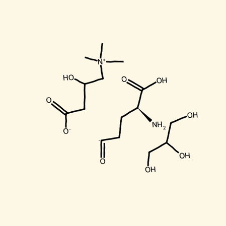 C[N+](C)(C)CC(O)CC(=O)[O-].N[C@@H](CC[C]=O)C(=O)O.OCC(O)CO